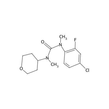 CN(C(=O)N(C)C1CCOCC1)c1ccc(Cl)cc1F